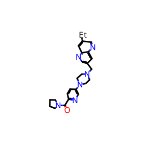 CCc1cnc2cc(CN3CCN(c4ccc(C(=O)N5CCCC5)nc4)CC3)cnc2c1